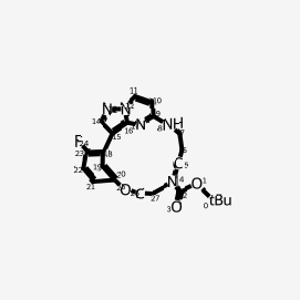 CC(C)(C)OC(=O)N1CCCNc2ccn3ncc(c3n2)-c2cc(ccc2F)OCC1